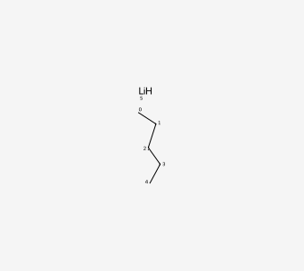 CC[CH]CC.[LiH]